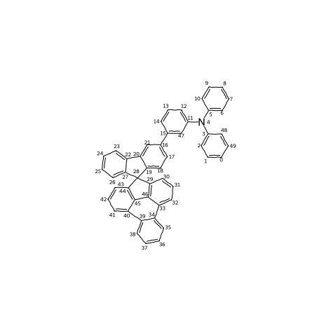 c1ccc(N(c2ccccc2)c2cccc(-c3ccc4c(c3)-c3ccccc3C43c4cccc5c6ccccc6c6cccc3c6c45)c2)cc1